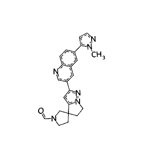 Cn1nccc1-c1ccc2ncc(-c3cc4n(n3)CCC43CCN(C=O)C3)cc2c1